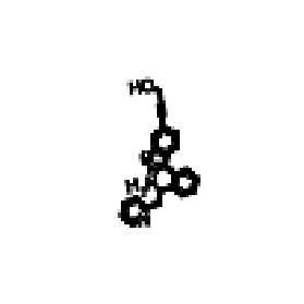 NC(Cc1ccccn1)c1ccccc1-c1noc2cc(C#CCO)ccc12